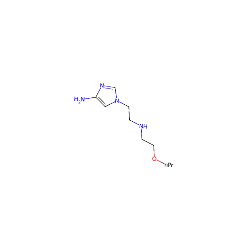 CCCOCCNCCn1cnc(N)c1